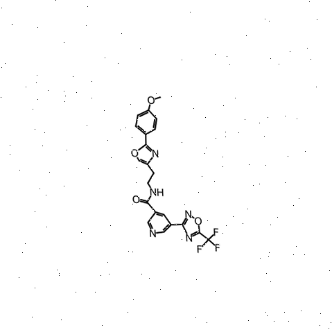 COc1ccc(-c2nc(CCNC(=O)c3cncc(-c4noc(C(F)(F)F)n4)c3)co2)cc1